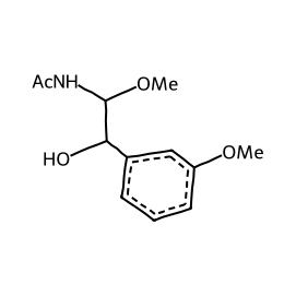 COc1cccc(C(O)C(NC(C)=O)OC)c1